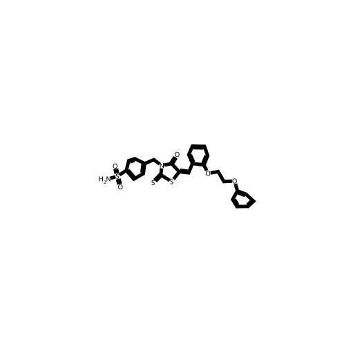 NS(=O)(=O)c1ccc(CN2C(=O)/C(=C\c3ccccc3OCCOc3ccccc3)SC2=S)cc1